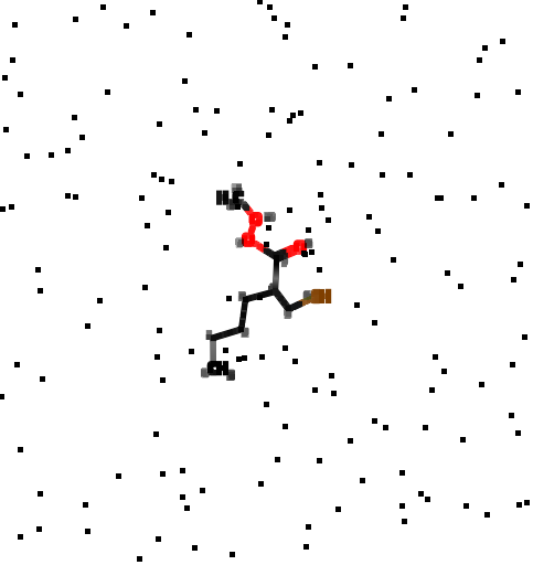 CCCCC(CS)C(=O)OOC